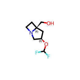 OC[C@]12CCN1C[C@H](OC(F)F)C2